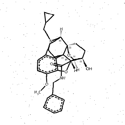 COc1ccc2c3c1O[C@H]1[C@@]4(O)CC[C@@]5(O[C@@H]4C(=O)NCc4ccccc4)[C@@H](C2)N(CC2CC2)CC[C@]315